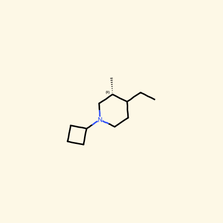 CCC1CCN(C2CCC2)C[C@@H]1C